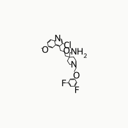 COc1ccc2ncc(Cl)c(CCCC3(C(N)=O)CCN(CCOc4cc(F)cc(F)c4)CC3)c2c1